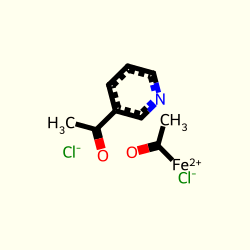 CC(=O)c1cccnc1.C[C](=O)[Fe+2].[Cl-].[Cl-]